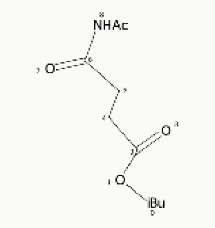 CCC(C)OC(=O)CCC(=O)NC(C)=O